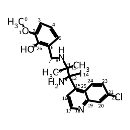 COc1cccc(CNC(C)(C)C(N)(I)c2ccnc3cc(Cl)ccc23)c1O